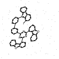 Ic1cccc2c3ccccc3n(-c3cccc(-c4cccc(-c5nc(-c6cccc7oc8ccccc8c67)nc(-c6cccc7oc8ccccc8c67)n5)c4)c3)c12